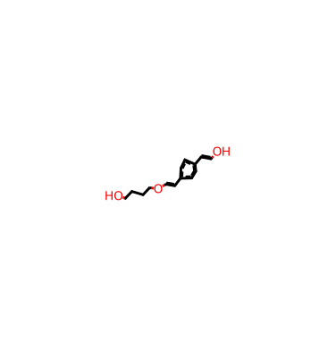 OC=Cc1ccc(C=COCCCCO)cc1